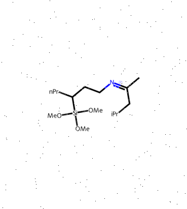 CCCC(CC/N=C(/C)CC(C)C)[Si](OC)(OC)OC